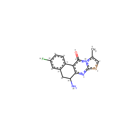 Cc1csc2nc3c(c(=O)n12)-c1ccc(F)cc1CC3N